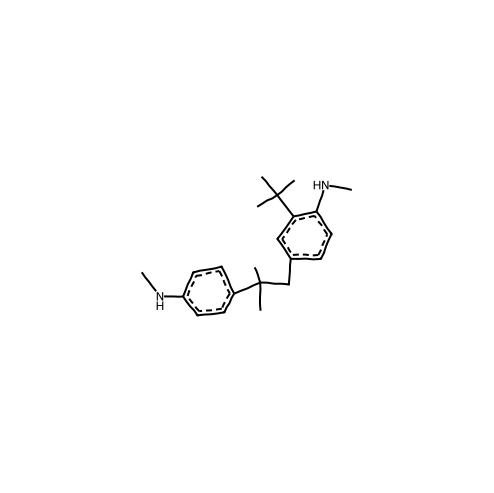 CNc1ccc(C(C)(C)Cc2ccc(NC)c(C(C)(C)C)c2)cc1